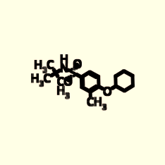 Cc1cc(S(=O)(=O)NC(C)(C)C)ccc1OC1CCCCC1